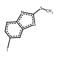 CSc1nc2ccc(I)cc2s1